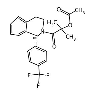 CC(=O)OC(C)(C)C(=O)N1CCc2ccccc2[C@H]1c1ccc(C(F)(F)F)cc1